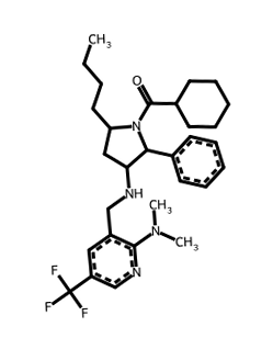 CCCCC1CC(NCc2cc(C(F)(F)F)cnc2N(C)C)C(c2ccccc2)N1C(=O)C1CCCCC1